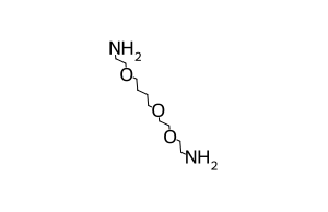 NCCOCCCCOCCOCCN